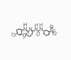 COc1ccc(Nc2nccc(NC(=O)Nc3cccc([N+](=O)[O-])c3)n2)c(OC)c1